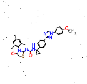 Cc1cc(C)c(N2C(=O)CS/C2=N\C(=O)NC2(c3ccc(-c4ncn(-c5ccc(OC(F)(F)F)cc5)n4)cc3)CC2)c(C)c1